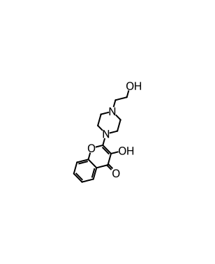 O=c1c(O)c(N2CCN(CCO)CC2)oc2ccccc12